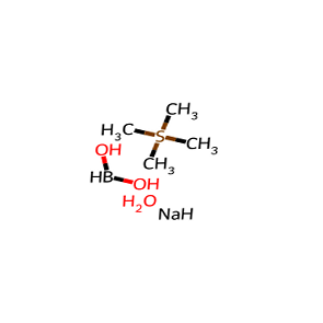 CS(C)(C)C.O.OBO.[NaH]